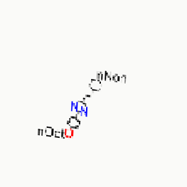 CCCCCCCCC[C@H]1CC[C@H](CCc2cnc(-c3ccc(OCCCCCCCC)cc3)nc2)CC1